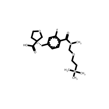 CN(COCC[Si](C)(C)C)C(=O)c1ccc(C[C@]2(C(=O)O)CCOC2)cc1F